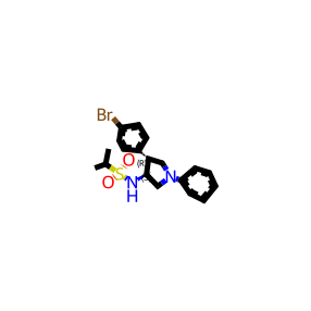 CC(C)S(=O)(=O)N[C@@H]1CN(c2ccccc2)C[C@H]1c1ccc(Br)cc1